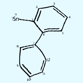 [Sn][c]1ccccc1-c1ccccc1